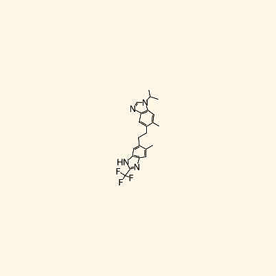 Cc1cc2c(cc1CCc1cc3[nH]c(C(F)(F)F)nc3cc1C)ncn2C(C)C